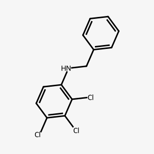 Clc1ccc(NCc2ccccc2)c(Cl)c1Cl